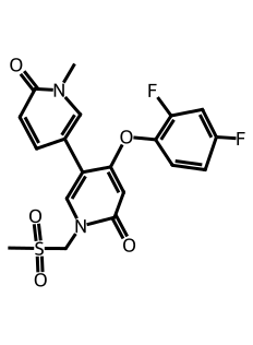 Cn1cc(-c2cn(CS(C)(=O)=O)c(=O)cc2Oc2ccc(F)cc2F)ccc1=O